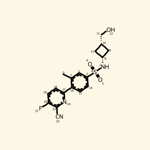 Cc1cc(S(=O)(=O)N[C@H]2C[C@@H](CO)C2)ccc1-c1ccc(F)c(C#N)n1